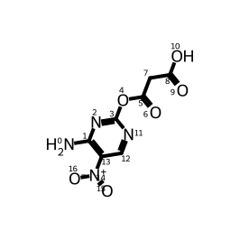 Nc1nc(OC(=O)CC(=O)O)ncc1[N+](=O)[O-]